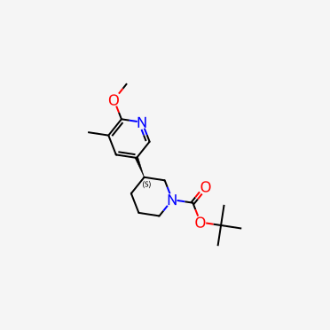 COc1ncc([C@@H]2CCCN(C(=O)OC(C)(C)C)C2)cc1C